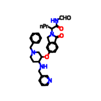 CCCC(C(=O)NC=O)N1Cc2cc(OC3CN(Cc4ccccc4)CCC3NCc3cccnc3)ccc2C1=O